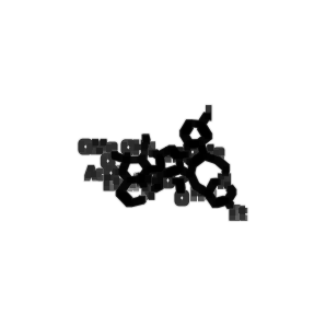 CCC1=C[C@@H]2CN(CCc3c([nH]c4ccc(I)cc34)[C@@](C(=O)OC)(c3cc4c(cc3OC)N(C)C3C(O)(C(=O)OC)[C@H](OC(C)=O)[C@]5(CC)C=CCN6CC[C@]43[C@@H]65)C2)C1